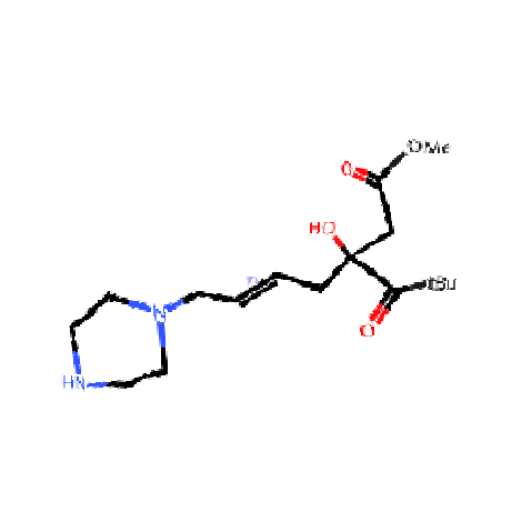 COC(=O)CC(O)(C/C=C/CN1CCNCC1)C(=O)C(C)(C)C